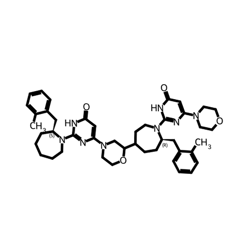 Cc1ccccc1C[C@H]1CCC(C2CN(c3cc(=O)[nH]c(N4CCCCC[C@H]4Cc4ccccc4C)n3)CCO2)CCN1c1nc(N2CCOCC2)cc(=O)[nH]1